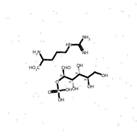 N=C(N)NCCCC(N)C(=O)O.O=C[C@H](OP(=O)(O)O)[C@@H](O)[C@H](O)[C@H](O)CO